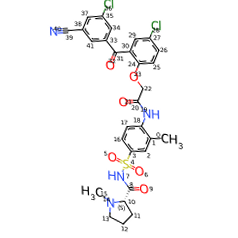 Cc1cc(S(=O)(=O)NC(=O)[C@@H]2CCCN2C)ccc1NC(=O)COc1ccc(Cl)cc1C(=O)c1cc(Cl)cc(C#N)c1